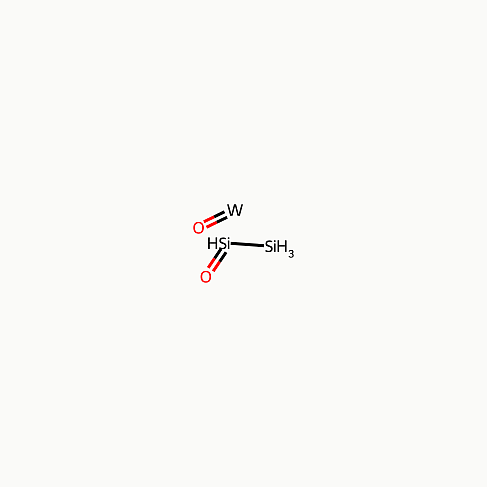 O=[SiH][SiH3].[O]=[W]